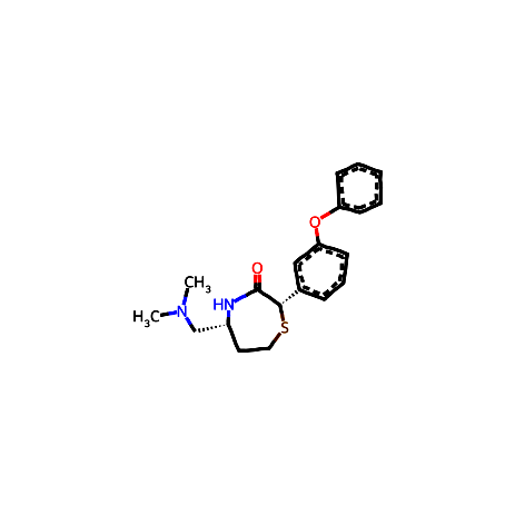 CN(C)C[C@H]1CCS[C@@H](c2cccc(Oc3ccccc3)c2)C(=O)N1